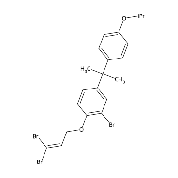 CC(C)Oc1ccc(C(C)(C)c2ccc(OCC=C(Br)Br)c(Br)c2)cc1